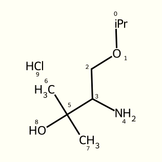 CC(C)OCC(N)C(C)(C)O.Cl